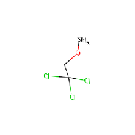 [SiH3]OCC(Cl)(Cl)Cl